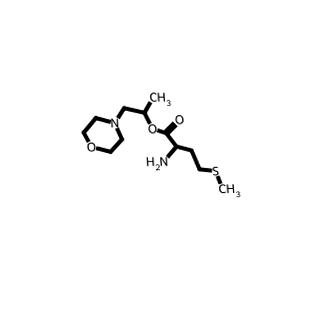 CSCCC(N)C(=O)OC(C)CN1CCOCC1